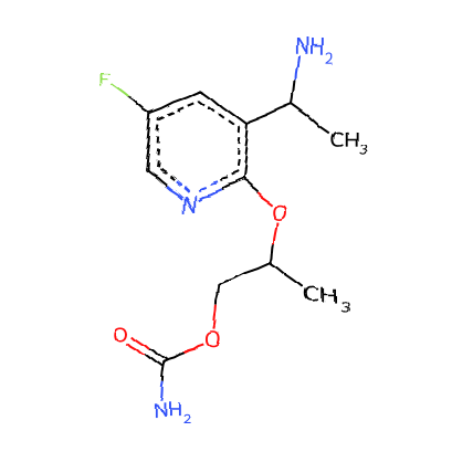 CC(COC(N)=O)Oc1ncc(F)cc1C(C)N